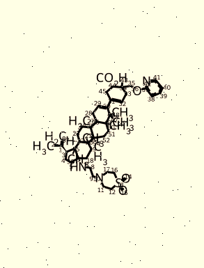 C=C(C)[C@@H]1CC[C@]2(NCCN3CCS(=O)(=O)CC3)CC[C@]3(C)[C@H](CCC4[C@@]5(C)CC=C(C6=CCC(COc7ccccn7)(C(=O)O)CC6)C(C)(C)[C@]5(C)CC[C@]43C)[C@@]12C